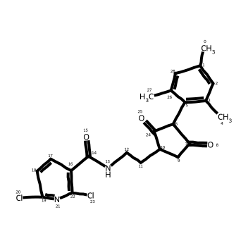 Cc1cc(C)c(C2C(=O)CC(CCNC(=O)c3ccc(Cl)nc3Cl)C2=O)c(C)c1